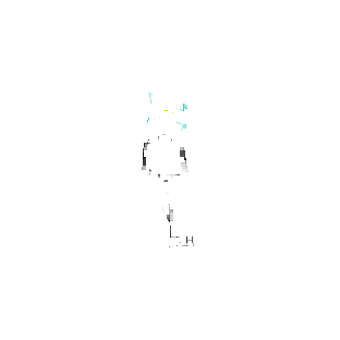 O=C(O)C#Cc1ccc(S(F)(F)(F)(F)F)cc1